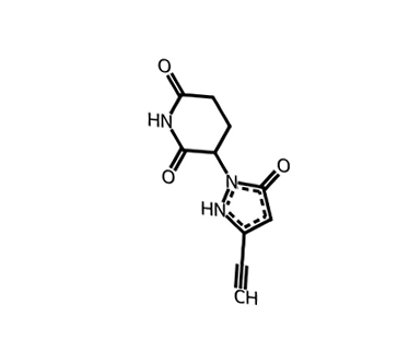 C#Cc1cc(=O)n(C2CCC(=O)NC2=O)[nH]1